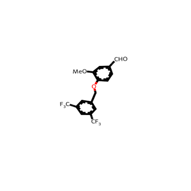 COc1cc(C=O)ccc1OCc1cc(C(F)(F)F)cc(C(F)(F)F)c1